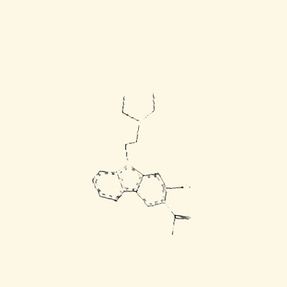 CCN(CC)CCn1c2ccccc2c2cc(C(C)=O)c(O)cc21